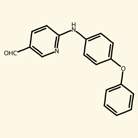 O=Cc1ccc(Nc2ccc(Oc3ccccc3)cc2)nc1